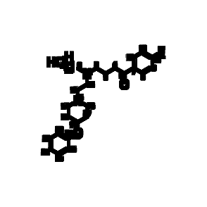 CN(CCCC(=O)c1ccc(F)cc1)CCN1CCC(Oc2ccccc2)CC1.Cl.Cl